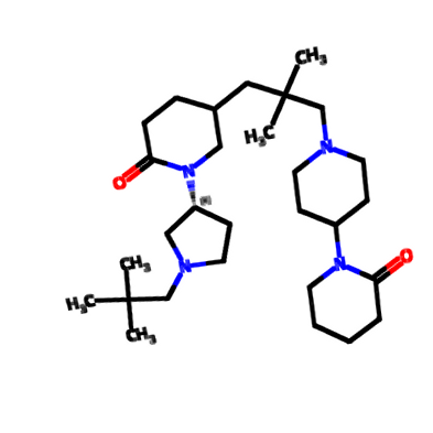 CC(C)(C)CN1CC[C@@H](N2CC(CC(C)(C)CN3CCC(N4CCCCC4=O)CC3)CCC2=O)C1